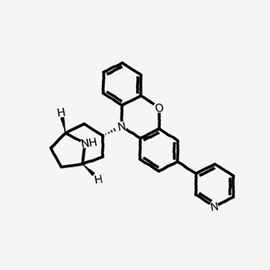 c1cncc(-c2ccc3c(c2)Oc2ccccc2N3[C@H]2C[C@H]3CC[C@@H](C2)N3)c1